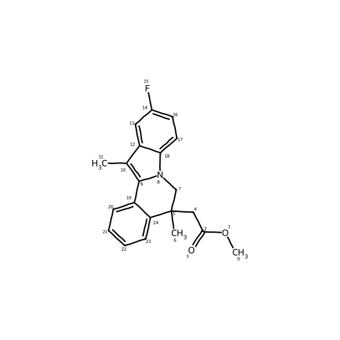 COC(=O)CC1(C)Cn2c(c(C)c3cc(F)ccc32)-c2ccccc21